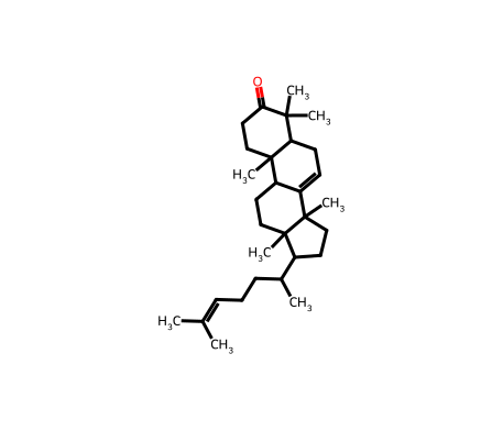 CC(C)=CCCC(C)C1CCC2(C)C3=CCC4C(C)(C)C(=O)CCC4(C)C3CCC12C